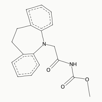 COC(=O)NC(=O)CN1c2ccccc2CCc2ccccc21